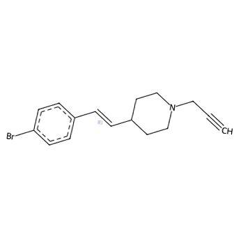 C#CCN1CCC(/C=C/c2ccc(Br)cc2)CC1